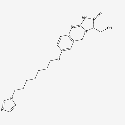 O=C1NC2=Nc3ccc(OCCCCCCCn4ccnc4)cc3CN2C1CO